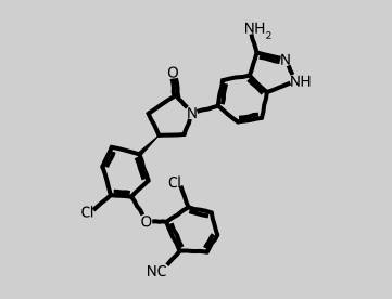 N#Cc1cccc(Cl)c1Oc1cc([C@H]2CC(=O)N(c3ccc4[nH]nc(N)c4c3)C2)ccc1Cl